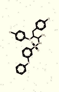 CC(NS(=O)(=O)c1cccc(Oc2ccccc2)c1)C(Cc1ccc(Cl)cc1)Oc1ccc(Cl)cc1